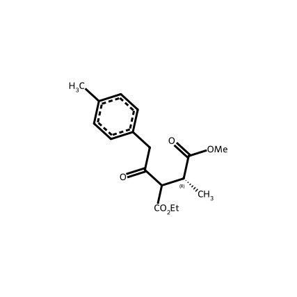 CCOC(=O)C(C(=O)Cc1ccc(C)cc1)[C@@H](C)C(=O)OC